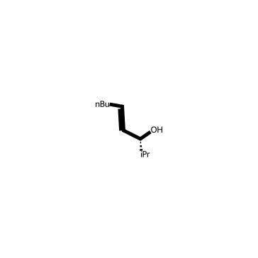 CCCC/C=C/[C@H](O)C(C)C